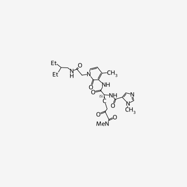 CCC(CC)CNC(=O)Cn1ccc(C)c(NC(=O)[C@H](CCC(=O)C(=O)NC)NC(=O)c2cncn2C)c1=O